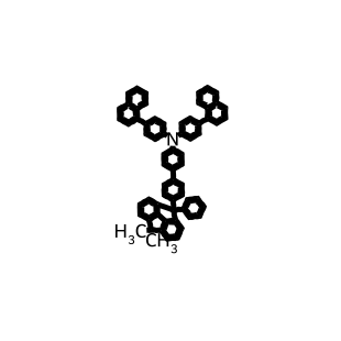 CC1(C)c2cccc3c2-c2c1cccc2C3(c1ccccc1)c1ccc(-c2ccc(N(c3ccc(-c4cccc5ccccc45)cc3)c3ccc(-c4cccc5ccccc45)cc3)cc2)cc1